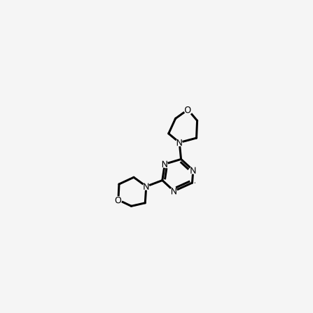 [c]1nc(N2CCOCC2)nc(N2CCOCC2)n1